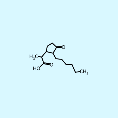 CCCCCCC1C(=O)CCC1C(C)C(=O)O